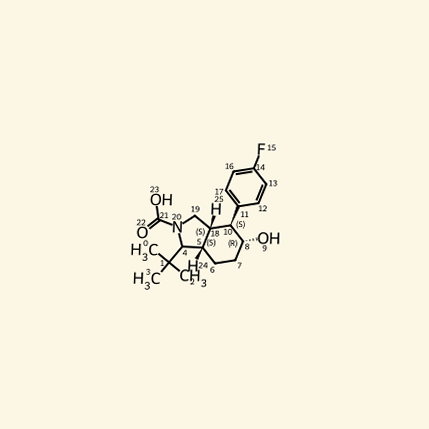 CC(C)(C)C1[C@H]2CC[C@@H](O)[C@H](c3ccc(F)cc3)[C@H]2CN1C(=O)O